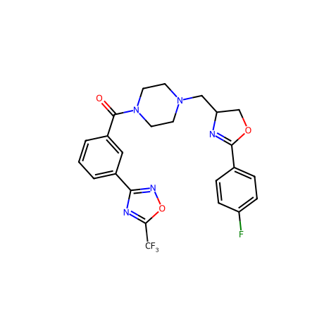 O=C(c1cccc(-c2noc(C(F)(F)F)n2)c1)N1CCN(CC2COC(c3ccc(F)cc3)=N2)CC1